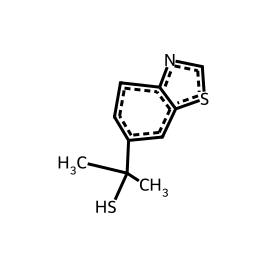 CC(C)(S)c1ccc2ncsc2c1